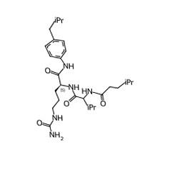 CC(C)CCC(=O)NC(C(=O)N[C@@H](CCCNC(N)=O)C(=O)Nc1ccc(CC(C)C)cc1)C(C)C